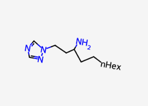 CCCCCCCCC(N)CCn1cncn1